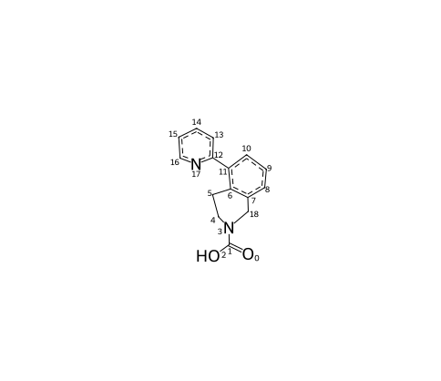 O=C(O)N1CCc2c(cccc2-c2ccccn2)C1